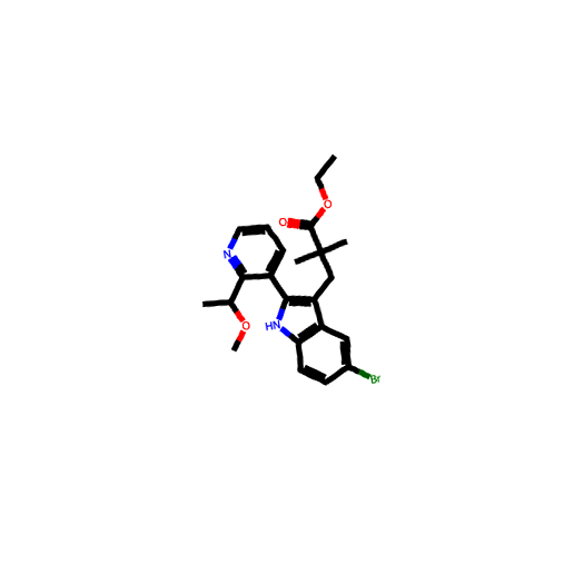 CCOC(=O)C(C)(C)Cc1c(-c2cccnc2C(C)OC)[nH]c2ccc(Br)cc12